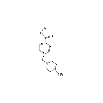 CCCN1CCN(Cc2ccc(C(=O)OC(C)C)cc2)CC1